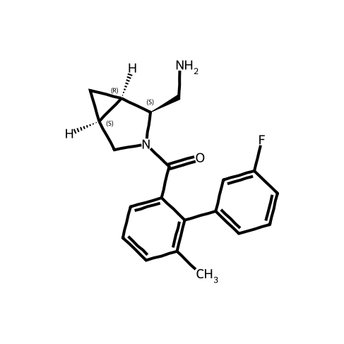 Cc1cccc(C(=O)N2C[C@H]3C[C@H]3[C@H]2CN)c1-c1cccc(F)c1